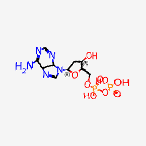 NC1=NC=NC2C1N=CN2[C@H]1C[C@@H](O)C(COP(=O)(O)OP(=O)(O)O)O1